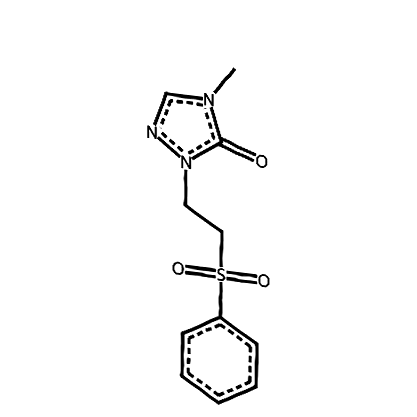 Cn1cnn(CCS(=O)(=O)c2ccccc2)c1=O